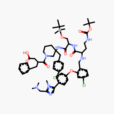 CN(C)Cc1ncc(-c2ccc(Oc3cc(Cl)ccc3CNC(CCNC(=O)OC(C)(C)C)C(=O)NC(CO[Si](C)(C)C(C)(C)C)C(=O)NC3(Cc4ccc(Cl)cc4)CCCN(C(=O)C(CC(=O)O)Cc4ccccc4)C3)cc2)n1C